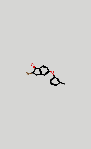 Cc1cccc(Oc2ccc3c(c2)CC(Br)C3=O)c1